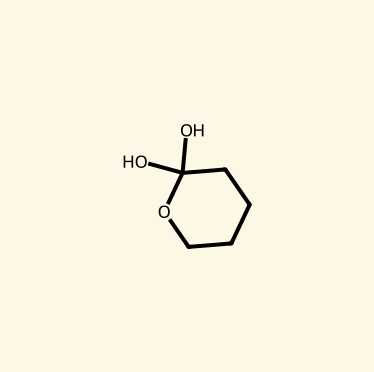 OC1(O)CCCCO1